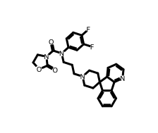 O=C1OCCN1C(=O)N(CCCN1CCC2(CC1)c1ccccc1-c1ncccc12)c1ccc(F)c(F)c1